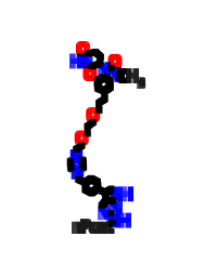 CCCCCNc1ncc2c(-c3ccc(CN4CCN(CCOCCCOCCCc5ccc6c(c5)n(C)c(=O)n6[C@H]5CCC(=O)NC5=O)CC4)cc3)c[nH]c2n1